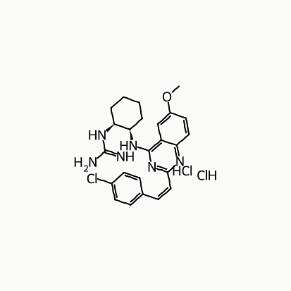 COc1ccc2nc(/C=C\c3ccc(Cl)cc3)nc(N[C@@H]3CCCC[C@@H]3NC(=N)N)c2c1.Cl.Cl